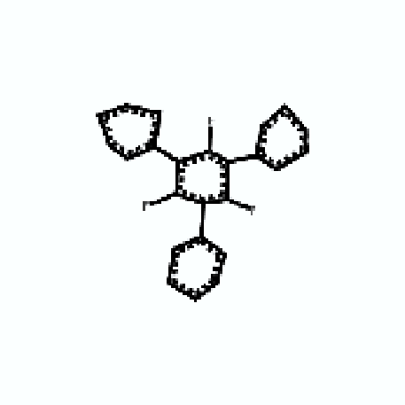 Fc1c(-c2ccccc2)c(F)c(-c2ccccc2)c(F)c1-c1ccccc1